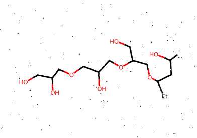 CCC(CC(C)O)OCC(CO)OCC(O)COCC(O)CO